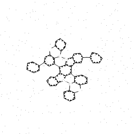 c1ccc(-c2cc3c4c(c2)-c2c5c6ccccc6n6c5c(c5c7cc(-c8ccccc8)ccc7n(c25)B4c2ccccc2O3)-c2cccc3c2B6c2ccccc2O3)cc1